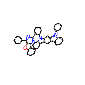 c1ccc(-c2nc(-c3ccccc3-n3c4ccccc4c4cc5c6ccccc6n(-c6ccccc6)c5cc43)nc3c2oc2ccccc23)cc1